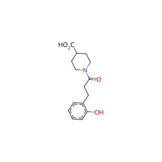 O=C(O)C1CCN(C(=O)CCc2ccccc2O)CC1